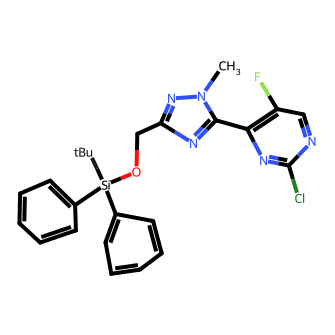 Cn1nc(CO[Si](c2ccccc2)(c2ccccc2)C(C)(C)C)nc1-c1nc(Cl)ncc1F